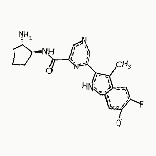 Cc1c(-c2cncc(C(=O)N[C@H]3CCC[C@@H]3N)n2)[nH]c2cc(Cl)c(F)cc12